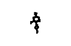 Fc1cc(Br)cnc1N1CC(F)C1